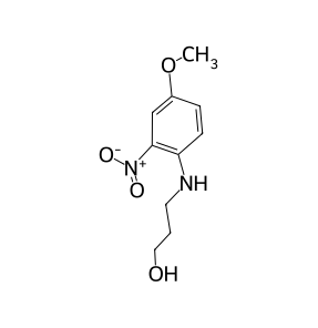 COc1ccc(NCCCO)c([N+](=O)[O-])c1